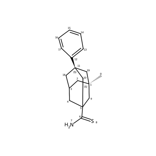 C[C@@]12CC3CC(C(N)=S)(C1)C[C@](c1ccccc1)(C3)C2